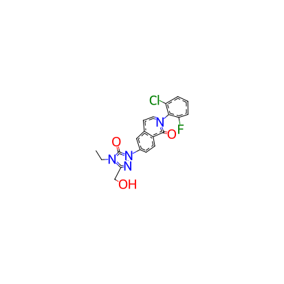 CCn1c(CO)nn(-c2ccc3c(=O)n(-c4c(F)cccc4Cl)ccc3c2)c1=O